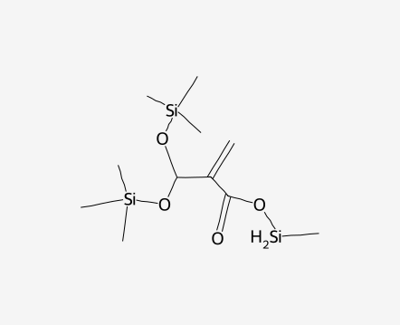 C=C(C(=O)O[SiH2]C)C(O[Si](C)(C)C)O[Si](C)(C)C